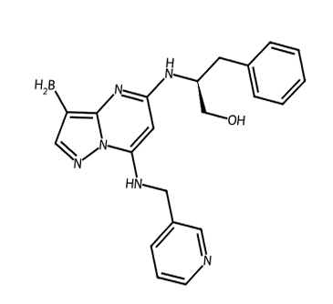 Bc1cnn2c(NCc3cccnc3)cc(N[C@H](CO)Cc3ccccc3)nc12